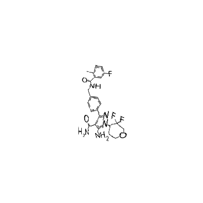 Cc1ccc(F)cc1C(=O)NCc1ccc(-c2nn(C3CCOCC3(F)F)c(N)c2C(N)=O)cc1